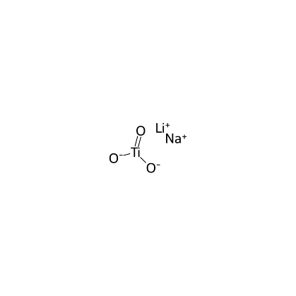 [Li+].[Na+].[O]=[Ti]([O-])[O-]